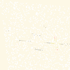 CNS(=O)(=O)c1ccc(C(=O)OC)cc1[N+](=O)[O-]